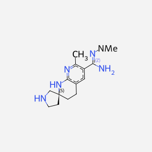 CN/N=C(\N)c1cc2c(nc1C)N[C@]1(CCNC1)CC2